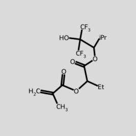 C=C(C)C(=O)OC(CC)C(=O)OC(C(C)C)C(O)(C(F)(F)F)C(F)(F)F